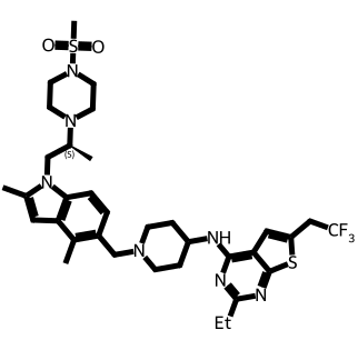 CCc1nc(NC2CCN(Cc3ccc4c(cc(C)n4C[C@H](C)N4CCN(S(C)(=O)=O)CC4)c3C)CC2)c2cc(CC(F)(F)F)sc2n1